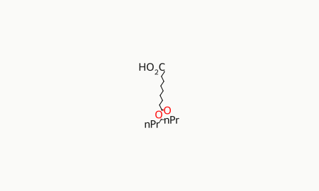 CCCC(CCC)OC(=O)CCCCCCCCC(=O)O